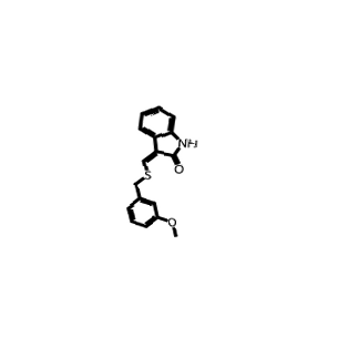 COc1cccc(CSC=C2C(=O)Nc3ccccc32)c1